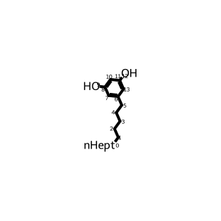 CCCCCCCCCCCCc1cc(O)cc(O)c1